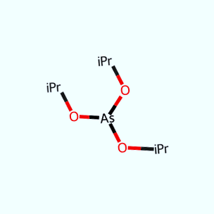 CC(C)O[As](OC(C)C)OC(C)C